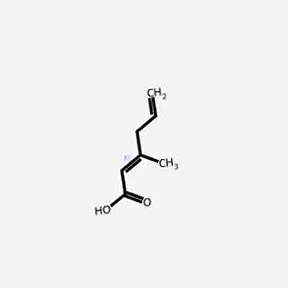 C=CC/C(C)=C/C(=O)O